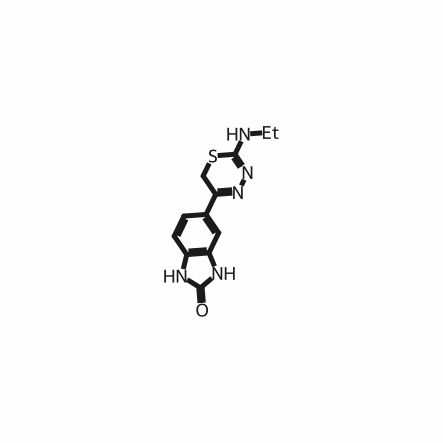 CCNC1=NN=C(c2ccc3[nH]c(=O)[nH]c3c2)CS1